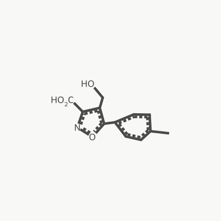 Cc1ccc(-c2onc(C(=O)O)c2CO)cc1